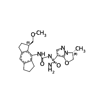 COC[C@@H]1CCc2cc3c(c(NC(=O)N=S(N)(=O)c4cnn5c4OC[C@H]5C)c21)CCC3